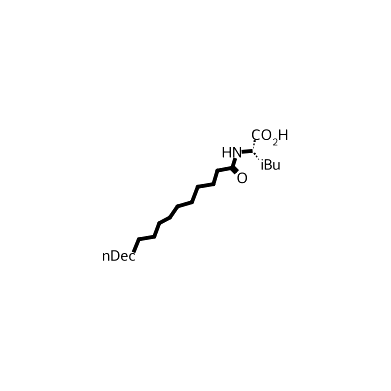 CCCCCCCCCCCCCCCCCCCC(=O)N[C@H](C(=O)O)[C@@H](C)CC